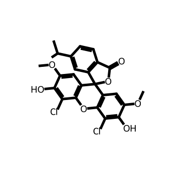 COc1cc2c(c(Cl)c1O)Oc1c(cc(OC)c(O)c1Cl)C21OC(=O)c2ccc(C(C)C)cc21